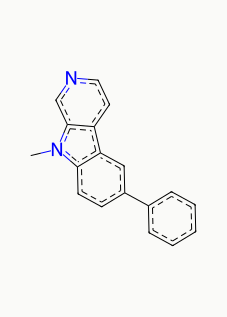 Cn1c2ccc(-c3ccccc3)cc2c2ccncc21